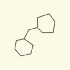 [CH]1CCCCC1CC1[CH]CCCC1